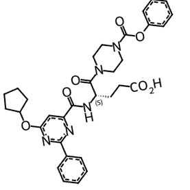 O=C(O)CC[C@H](NC(=O)c1cc(OC2CCCC2)nc(-c2ccccc2)n1)C(=O)N1CCN(C(=O)Oc2ccccc2)CC1